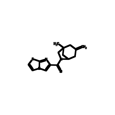 C=C1CC2CC(C)(C1)CN2C(=O)c1cn2ccsc2n1